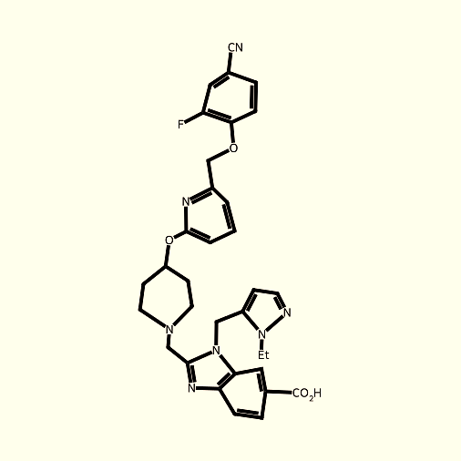 CCn1nccc1Cn1c(CN2CCC(Oc3cccc(COc4ccc(C#N)cc4F)n3)CC2)nc2ccc(C(=O)O)cc21